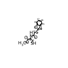 COC(=O)[C@H](CS)NC(=O)CSc1nc2ccccc2o1